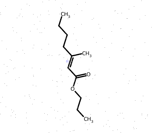 CCCC/C(C)=C/C(=O)OCCC